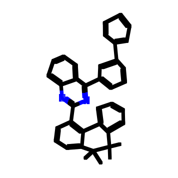 CC1(C)c2ccccc2-c2c(-c3nc(-c4cccc(-c5ccccc5)c4)c4ccccc4n3)cccc2C1(C)C